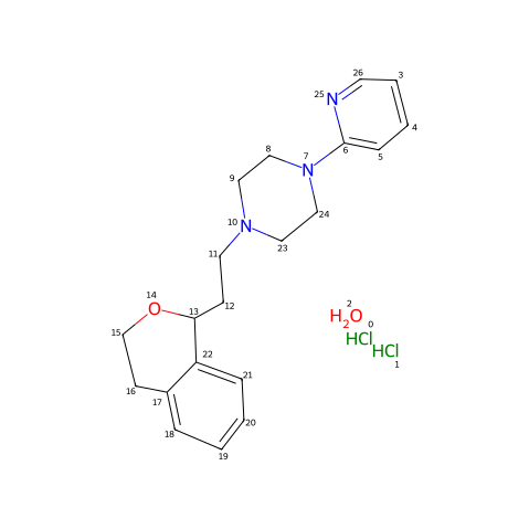 Cl.Cl.O.c1ccc(N2CCN(CCC3OCCc4ccccc43)CC2)nc1